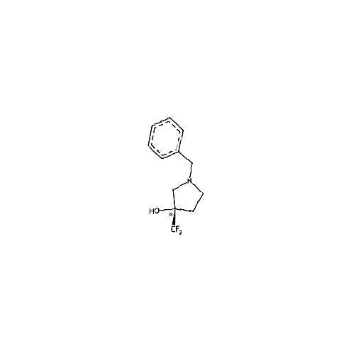 O[C@@]1(C(F)(F)F)CCN(Cc2ccccc2)C1